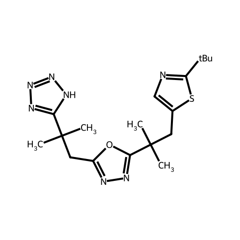 CC(C)(C)c1ncc(CC(C)(C)c2nnc(CC(C)(C)c3nnn[nH]3)o2)s1